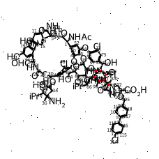 CC(=O)NC1C(=O)N[C@@H](C(N)=O)c2ccc(O)c(c2)-c2c(O)cc(O)cc2C(C=O)NC(=O)C[C@H](OC(O)CC(C)(N)C(O)C(C)C)c2ccc(c(Cl)c2)Oc2cc1cc(Oc1ccc(C(O)[C@H](NC(=O)CCC(C)C)C(=O)NCC(N)=O)cc1Cl)c2OC1OC(CO)C(O)C(O)C1OC(C)OC(C)C(O)C(C)(C)NCC(OCc1ccc(-c2ccc(Cl)cc2)cc1)C(=O)O